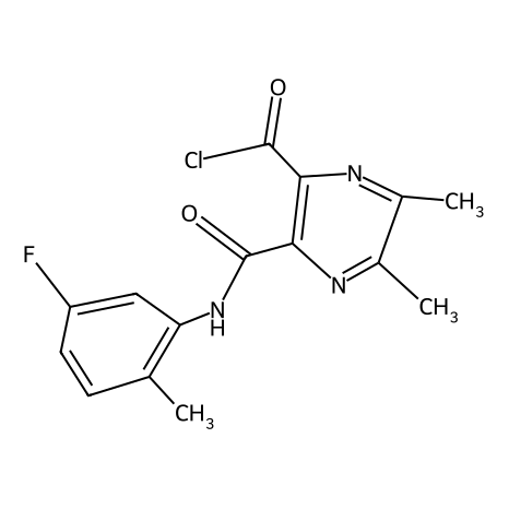 Cc1ccc(F)cc1NC(=O)c1nc(C)c(C)nc1C(=O)Cl